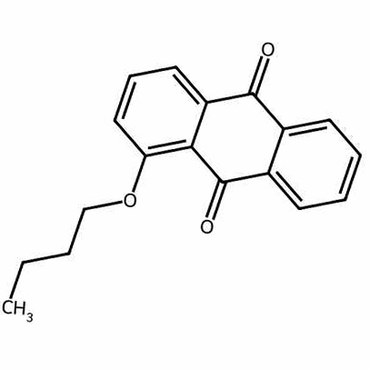 CCCCOc1cccc2c1C(=O)c1ccccc1C2=O